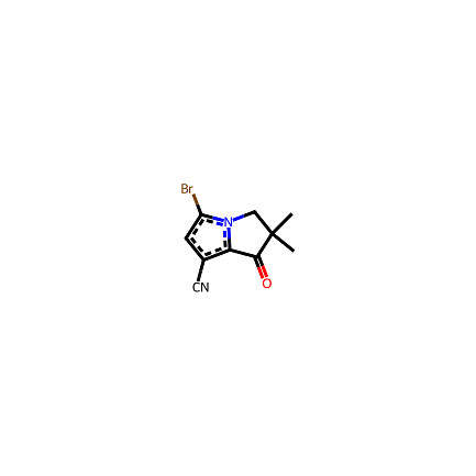 CC1(C)Cn2c(Br)cc(C#N)c2C1=O